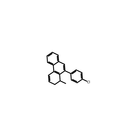 CC1CC=Cc2c1c(-c1ccc(Cl)cc1)cc1ccccc21